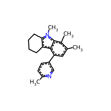 Cc1ccc(-c2cc(C)c(C)c3c2c2c(n3C)CCCC2)cn1